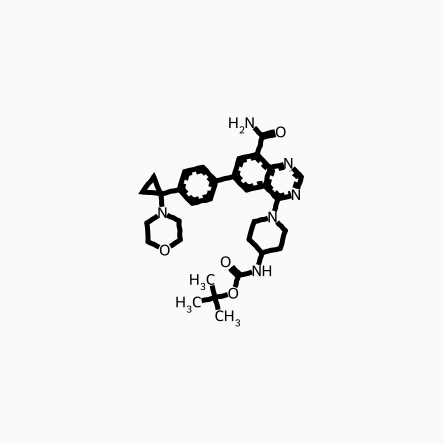 CC(C)(C)OC(=O)NC1CCN(c2ncnc3c(C(N)=O)cc(-c4ccc(C5(N6CCOCC6)CC5)cc4)cc23)CC1